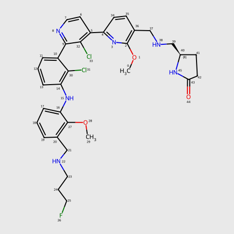 COc1nc(-c2ccnc(-c3cccc(Nc4cccc(CNCCCF)c4OC)c3Cl)c2Cl)ccc1CNC[C@H]1CCC(=O)N1